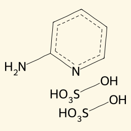 Nc1ccccn1.O=S(=O)(O)O.O=S(=O)(O)O